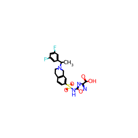 CC(c1cc(F)cc(F)c1)N1CCc2ccc(S(=O)(=O)Nc3nc(C(=O)O)no3)cc2C1